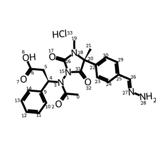 CC(=O)N([C@H](CC(=O)O)c1ccccc1)N1C(=O)N(C)[C@](C)(c2ccc(C=NN)cc2)C1=O.Cl